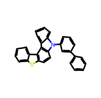 c1ccc(-c2cccc(-n3c4ccccc4c4c5c(ccc43)sc3ccccc35)c2)cc1